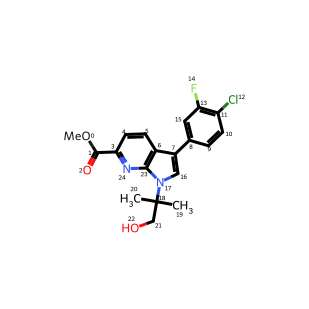 COC(=O)c1ccc2c(-c3ccc(Cl)c(F)c3)cn(C(C)(C)CO)c2n1